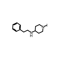 IN1CCC(NCCc2ccccc2)CC1